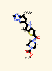 COc1cc(-c2[nH]c3cc(C(=O)N4CCN(C(=O)OC(C)(C)C)CC4)sc3c2C(C)C)cn2ncnc12